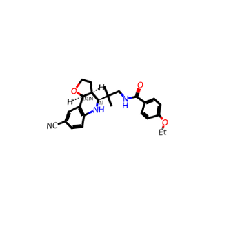 CCOc1ccc(C(=O)NCC(C)(C)[C@H]2Nc3ccc(C#N)cc3[C@H]3OCC[C@H]32)cc1